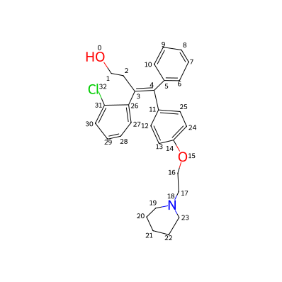 OCC/C(=C(\c1ccccc1)c1ccc(OCCN2CCCCC2)cc1)c1ccccc1Cl